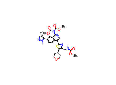 CN(Cc1nc(-c2cnc(N(C(=O)OC(C)(C)C)C(=O)OC(C)(C)C)c3cc(-c4ccnn4C)ccc23)sc1C1CCOCC1)C(=O)OC(C)(C)C